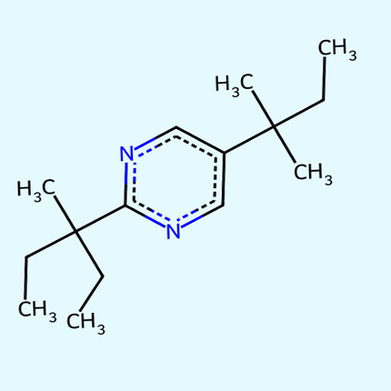 CCC(C)(C)c1cnc(C(C)(CC)CC)nc1